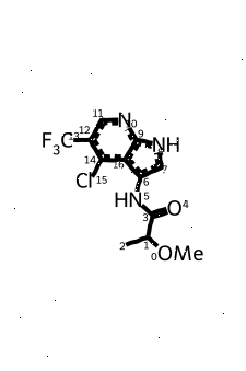 COC(C)C(=O)Nc1c[nH]c2ncc(C(F)(F)F)c(Cl)c12